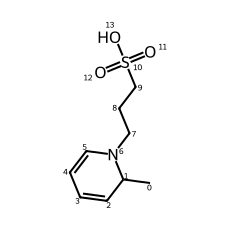 CC1C=CC=CN1CCCS(=O)(=O)O